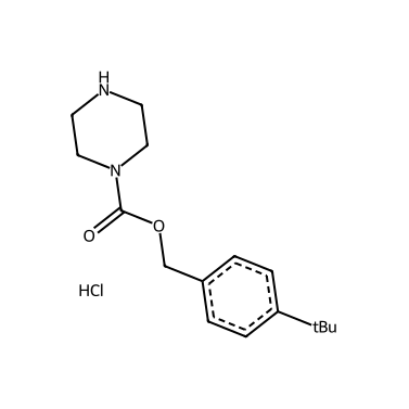 CC(C)(C)c1ccc(COC(=O)N2CCNCC2)cc1.Cl